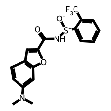 CN(C)c1ccc2cc(C(=O)N[S+]([O-])c3ccccc3C(F)(F)F)oc2c1